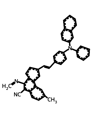 C=Nc1c(C#N)c2ccc(C)cc2c2cc(C=Cc3ccc(N(c4ccccc4)c4ccc5ccccc5c4)cc3)ccc12